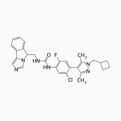 Cc1nn(CC2CCC2)c(C)c1-c1cc(F)c(NC(=O)NCC2c3ccccc3-c3cncn32)cc1Cl